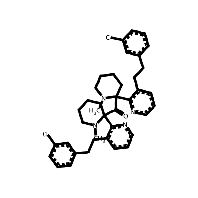 CN1CCCCC1(C(=O)C1(c2ncccc2CCc2cccc(Cl)c2)CCCCN1C)c1ncccc1CCc1cccc(Cl)c1